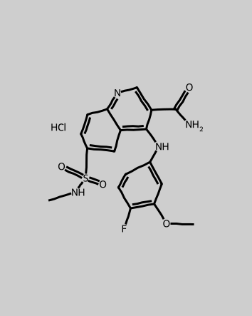 CNS(=O)(=O)c1ccc2ncc(C(N)=O)c(Nc3ccc(F)c(OC)c3)c2c1.Cl